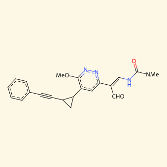 CNC(=O)N/C=C(\C=O)c1cc(C2CC2C#Cc2ccccc2)c(OC)nn1